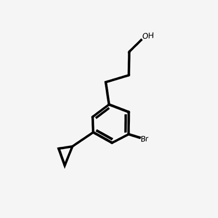 OCCCc1cc(Br)cc(C2CC2)c1